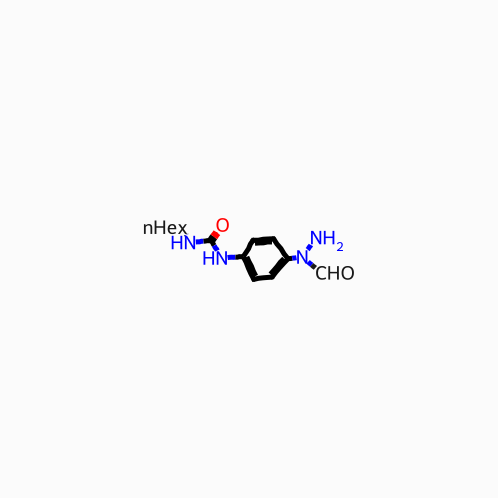 CCCCCCNC(=O)Nc1ccc(N(N)C=O)cc1